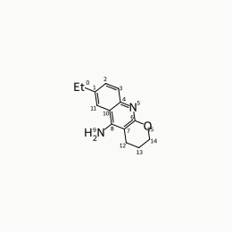 CCc1ccc2nc3c(c(N)c2c1)CCCO3